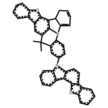 CC1(C)c2cc(-n3c4ccccc4c4c5oc6ccccc6c5ccc43)ccc2N2C3=CC=CCC3c3c2c1cc1c3oc2ccccc21